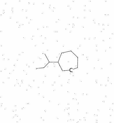 [CH2]C(CC)C1CCCCCC1